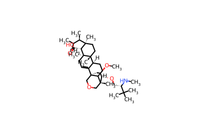 CN[C@@H](CO[C@H]1[C@H](OC)C[C@@]23COC[C@]1(C)[C@@H]2CC[C@H]1C3=CC[C@@]2(C)[C@H](C(=O)O)[C@@](C)([C@H](C)C(C)C)CC[C@]12C)C(C)(C)C